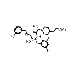 CCC[C@@H](C(=O)N[C@@H](Cc1cc(F)cc(F)c1)[C@H](O)CNCc1cccc(CC)c1)N1CCC(CCOC)CC1